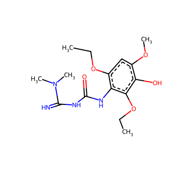 CCOc1cc(OC)c(O)c(OCC)c1NC(=O)NC(=N)N(C)C